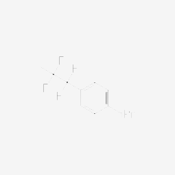 CC(C)c1ccc(C(F)(F)C(C)(F)F)cc1